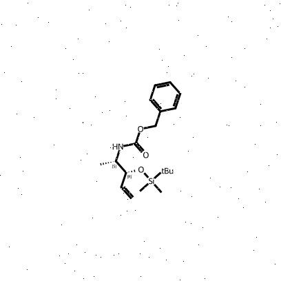 C=C[C@@H](O[Si](C)(C)C(C)(C)C)[C@H](C)NC(=O)OCc1ccccc1